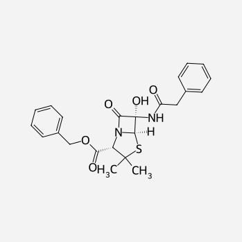 CC1(C)S[C@H]2N(C(=O)[C@@]2(O)NC(=O)Cc2ccccc2)[C@H]1C(=O)OCc1ccccc1